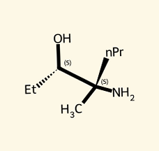 CCC[C@](C)(N)[C@@H](O)CC